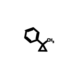 CC1(c2cc[c]cc2)CC1